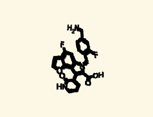 NCc1ccc(Cn2c(C(=O)O)c(-c3ccc[nH]c3=O)c3c4occc4c(F)cc32)c(F)c1